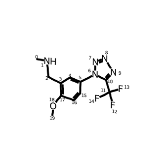 CNCc1cc(-n2nnnc2C(F)(F)F)ccc1OC